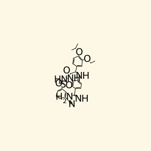 CCOc1cc(C(Nc2ccc(C(=N)N)cc2)C(=O)NNS(=O)(=O)c2cccc(C#N)c2)ccc1OC(C)C